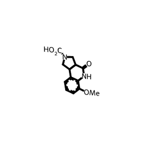 COc1cccc2c1NC(=O)C1CN(C(=O)O)CC21